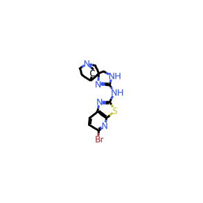 Brc1ccc2nc(NC3=NC4(CN3)CN3CCC4CC3)sc2n1